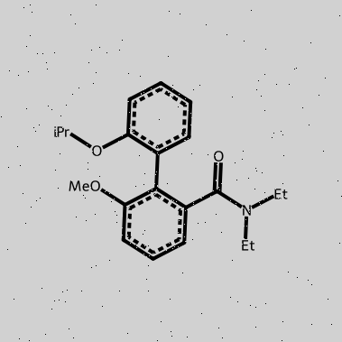 CCN(CC)C(=O)c1cccc(OC)c1-c1ccccc1OC(C)C